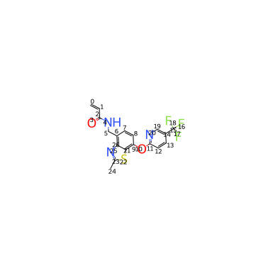 C=CC(=O)NCc1ccc(Oc2ccc(C(F)(F)F)cn2)c2sc(C)nc12